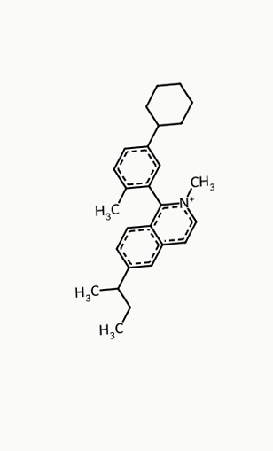 CCC(C)c1ccc2c(-c3cc(C4CCCCC4)ccc3C)[n+](C)ccc2c1